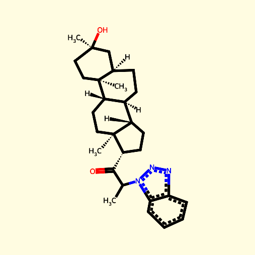 CC(C(=O)[C@H]1CC[C@H]2[C@@H]3CC[C@@H]4C[C@](C)(O)CC[C@]4(C)[C@H]3CC[C@]12C)n1nnc2ccccc21